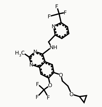 Cc1nc(NCc2cccc(C(F)(F)F)n2)c2cc(OCCOC3CC3)c(OC(F)(F)F)cc2n1